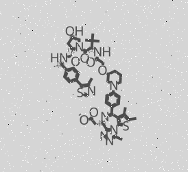 COC(=O)C[C@@H]1N=C(c2ccc(N3CCCC(OCC(=O)N[C@H](C(=O)N4C[C@H](O)C[C@H]4C(=O)N[C@@H](C)c4ccc(-c5scnc5C)cc4)C(C)(C)C)C3)cc2)c2c(sc(C)c2C)-n2c(C)nnc21